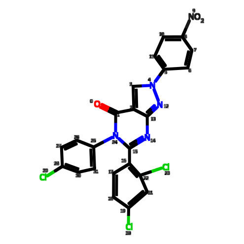 O=c1c2cn(-c3ccc([N+](=O)[O-])cc3)nc2nc(-c2ccc(Cl)cc2Cl)n1-c1ccc(Cl)cc1